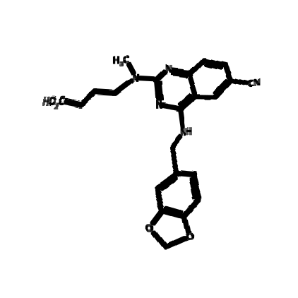 CN(CCCC(=O)O)c1nc(NCc2ccc3c(c2)OCO3)c2cc(C#N)ccc2n1